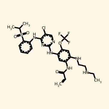 C=CC(=O)Nc1cc(Nc2ncc(Cl)c(Nc3ccccc3S(=O)(=O)C(C)C)n2)c(OC(F)(F)F)cc1NCCNCC